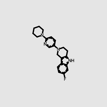 Fc1ccc2c3c([nH]c2c1)CCN(c1ccc(N2CCCCC2)nc1)C3